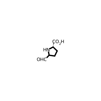 O=CC1CC[C@@H](C(=O)O)N1